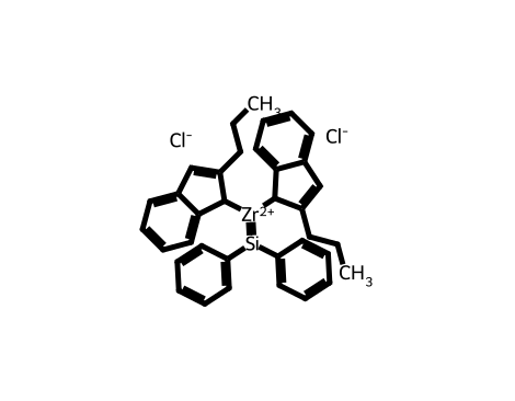 CCCC1=Cc2ccccc2[CH]1[Zr+2]([CH]1C(CCC)=Cc2ccccc21)=[Si](c1ccccc1)c1ccccc1.[Cl-].[Cl-]